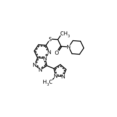 CC(Sc1ccc2nnc(-c3ccnn3C)n2n1)C(=O)N1CCCCC1